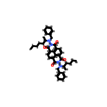 CCCCCC(C)N(Cc1ccccc1)N1C(=O)c2ccc3c4c(ccc(c24)C1=O)C(=O)N(N(Cc1ccccc1)C(C)CCCC)C3=O